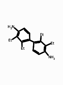 CCc1c(N)ccc(-c2ccc(N)c(CC)c2CC)c1CC